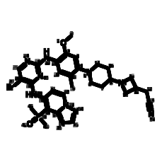 COc1cc(N2CCC(N3CC(CC#N)C3)CC2)c(C)cc1Nc1ncc(Br)c(Nc2ccn3ncnc3c2P(C)(C)=O)n1